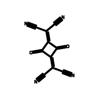 N#CC(C#N)=c1c(=O)c(=C(C#N)C#N)c1=O